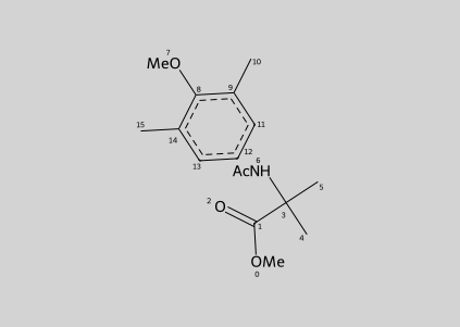 COC(=O)C(C)(C)NC(C)=O.COc1c(C)cccc1C